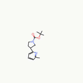 Cc1cccc(C2CCN(C(=O)OC(C)(C)C)C2)n1